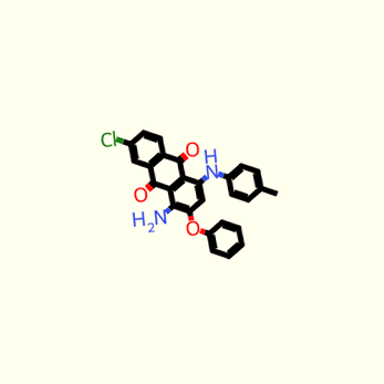 Cc1ccc(Nc2cc(Oc3ccccc3)c(N)c3c2C(=O)c2ccc(Cl)cc2C3=O)cc1